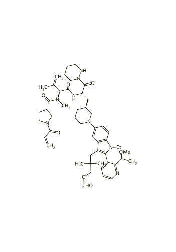 C=CC(=O)N1CC[C@H](C(=O)N(C)[C@@H](C(=C)C)C(=O)N[C@@H](C[C@@H]2CCCN(c3ccc4c(c3)c(CC(C)(C)COC=O)c(-c3cccnc3[C@H](C)OC)n4CC)C2)C(=O)N2CCCCN2)C1